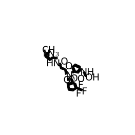 Cn1ccc(CNC(=O)CC2CN(S(=O)(=O)c3cccc(C(F)(F)F)c3)c3cc(NC(=O)O)ccc3O2)n1